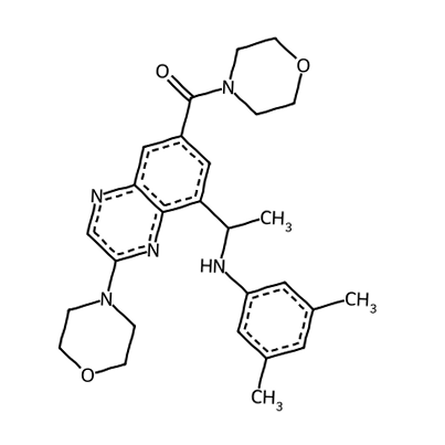 Cc1cc(C)cc(NC(C)c2cc(C(=O)N3CCOCC3)cc3ncc(N4CCOCC4)nc23)c1